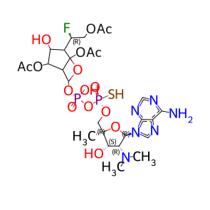 CC(=O)OC[C@H](F)C1C(O)C(OC(C)=O)C2C(OP(=O)(O)OP(=O)(S)OC[C@@]3(C)O[C@@H](n4cnc5c(N)ncnc54)[C@H](N(C)C)[C@@H]3O)OC21OC(C)=O